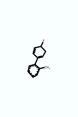 Cc1ccccc1C1=CCC(F)C=C1